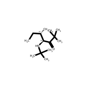 CC[C@H](C)[C@H](NC(C)(C)C)C(=O)C(C)(C)C